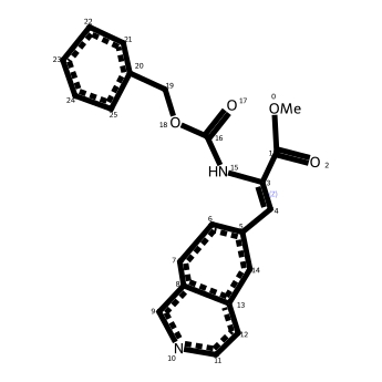 COC(=O)/C(=C/c1ccc2cnccc2c1)NC(=O)OCc1ccccc1